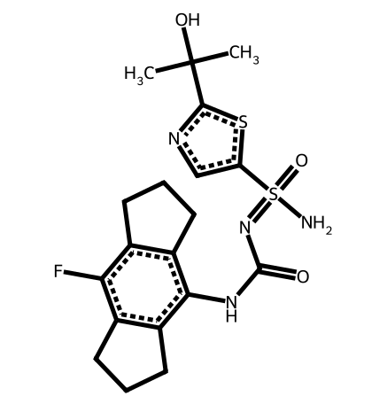 CC(C)(O)c1ncc(S(N)(=O)=NC(=O)Nc2c3c(c(F)c4c2CCC4)CCC3)s1